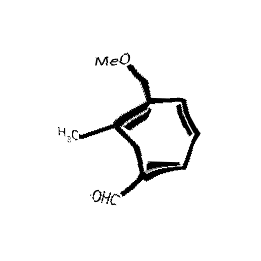 COc1cccc([C]=O)c1C